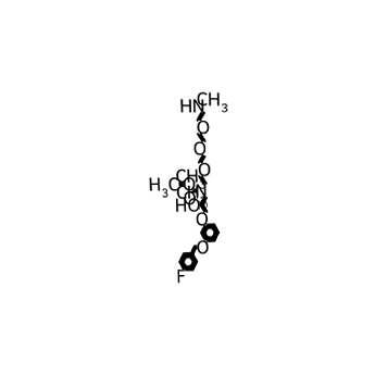 CNCCOCCOCCOCCN(C[C@@H](O)COc1cccc(OCc2ccc(F)cc2)c1)C(=O)OC(C)(C)C